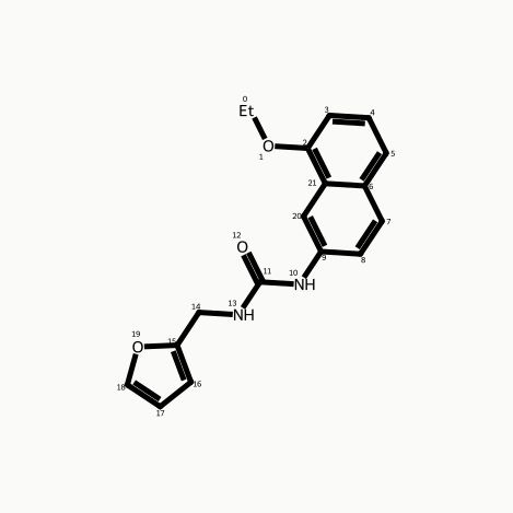 CCOc1cccc2ccc(NC(=O)NCc3ccco3)cc12